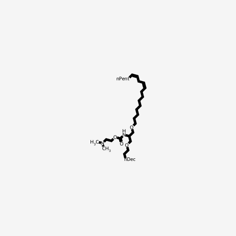 CCCCC/C=C\C/C=C\CCCCCCCCOCC(COCCCCCCCCCCCC)NC(=O)OCCN(C)C